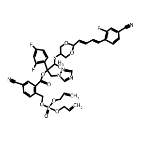 C=CCOP(=O)(OCC=C)OCc1ccc(C#N)cc1C(=O)OC(Cn1cncn1)(c1ccc(F)cc1F)C(C)SC1COC(C=CC=Cc2ccc(C#N)cc2F)OC1